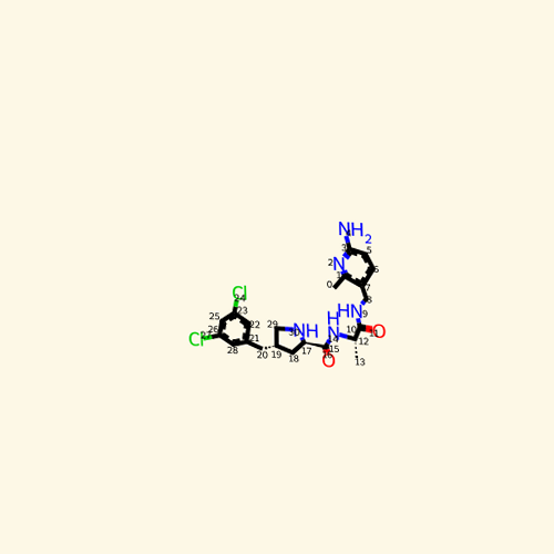 Cc1nc(N)ccc1CNC(=O)[C@H](C)NC(=O)[C@H]1C[C@H](Cc2cc(Cl)cc(Cl)c2)CN1